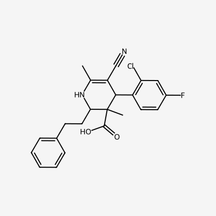 CC1=C(C#N)C(c2ccc(F)cc2Cl)C(C)(C(=O)O)C(CCc2ccccc2)N1